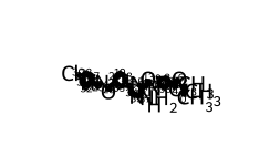 CC(C)(C)OC(=O)N1CC[C@H](NC(=O)c2nc(-c3cccc(C(=O)NCc4ccc(Cl)cc4)c3)cnc2N)C1